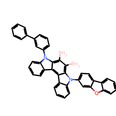 Bc1c(B)c2c(c3ccccc3n2-c2ccc3c(c2)oc2ccccc23)c2c3ccccc3n(-c3cccc(-c4ccccc4)c3)c12